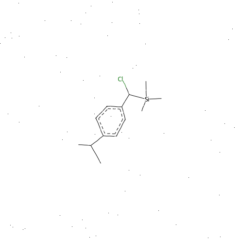 CC(C)c1ccc(C(Cl)[Si](C)(C)C)cc1